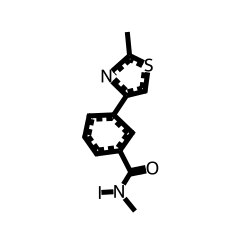 Cc1nc(-c2cccc(C(=O)N(C)I)c2)cs1